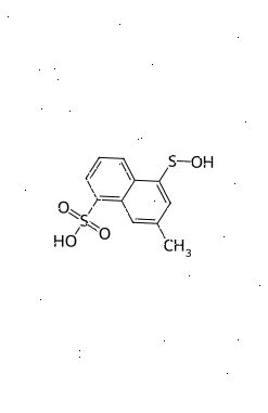 Cc1cc(SO)c2cccc(S(=O)(=O)O)c2c1